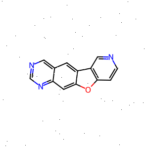 c1cc2oc3cc4ncncc4cc3c2cn1